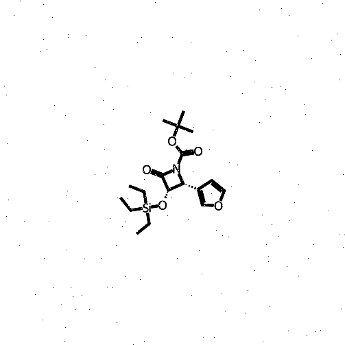 CC[Si](CC)(CC)O[C@@H]1C(=O)N(C(=O)OC(C)(C)C)[C@@H]1c1ccoc1